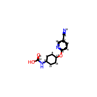 N#Cc1ccc(OC2CCC(NC(=O)O)CC2)nc1